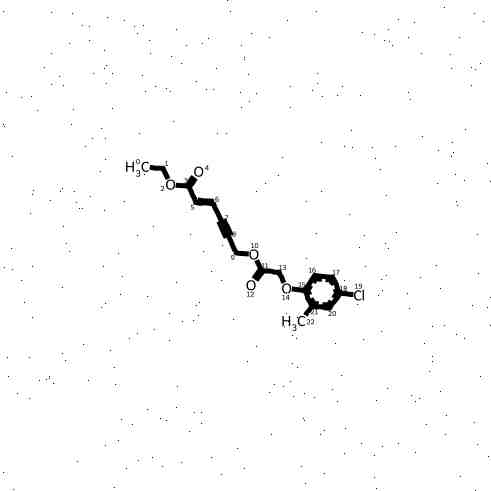 CCOC(=O)/C=C/C#CCOC(=O)COc1ccc(Cl)cc1C